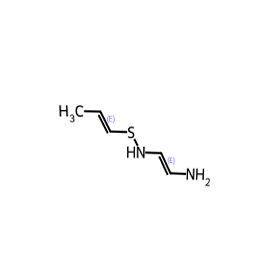 C/C=C/SN/C=C/N